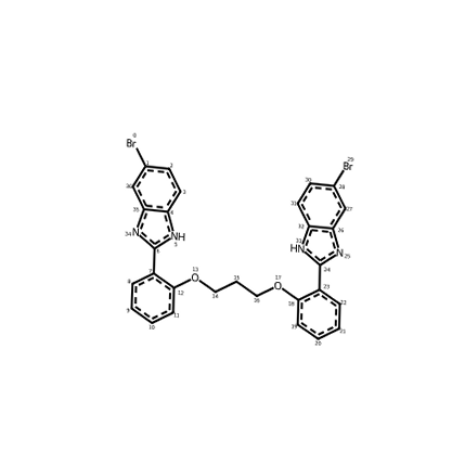 Brc1ccc2[nH]c(-c3ccccc3OCCCOc3ccccc3-c3nc4cc(Br)ccc4[nH]3)nc2c1